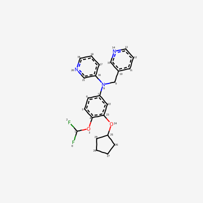 FC(F)Oc1ccc(N(Cc2cccnc2)c2cccnc2)cc1OC1CCCC1